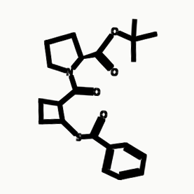 CC(C)(C)OC(=O)[C@@H]1CCCN1C(=O)C1CCC1SC(=O)c1ccccc1